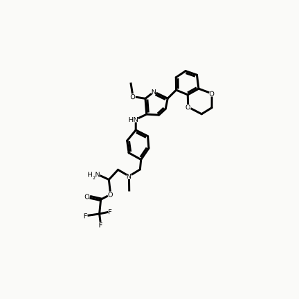 COc1nc(-c2cccc3c2OCCO3)ccc1Nc1ccc(CN(C)CC(N)OC(=O)C(F)(F)F)cc1